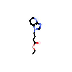 CCOC(=O)CCCn1cnc2ncccc21